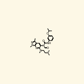 Cc1nn(C)c2nc(N(C)CCN(C)C)c(N(C=O)C(=O)Nc3cccc(OC(C)C)c3)cc12